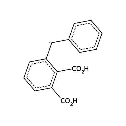 O=C(O)c1cccc([CH]c2ccccc2)c1C(=O)O